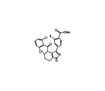 COC(=O)c1ccc(-c2n[nH]c3c2C(C(=O)c2c(Cl)cccc2C(F)(F)F)CCC3)cc1F